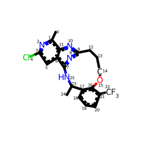 Cc1nc(Cl)cc2c3nc(nc12)CCCOc1c(cccc1C(F)(F)F)C(C)N3